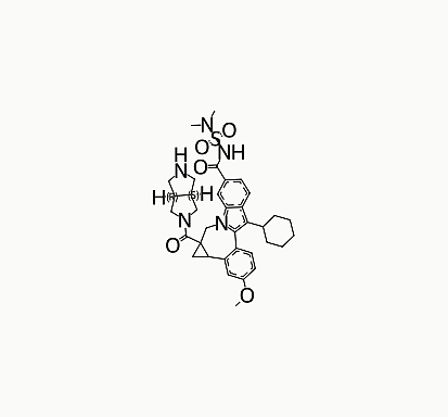 COc1ccc2c(c1)C1CC1(C(=O)N1C[C@H]3CNC[C@H]3C1)Cn1c-2c(C2CCCCC2)c2ccc(C(=O)NS(=O)(=O)N(C)C)cc21